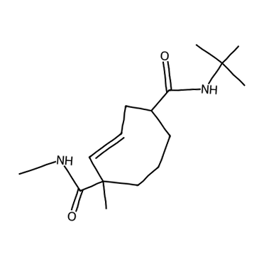 CNC(=O)C1(C)/C=C/CC(C(=O)NC(C)(C)C)CCC1